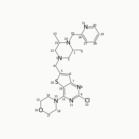 CC1CN(Cc2cc3nc(Cl)nc(N4CCOCC4)c3s2)CC(C)N1Cc1ccccn1